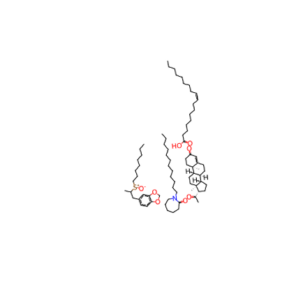 CC(=O)[C@H]1CC[C@H]2[C@@H]3CCC4=CC(=O)CC[C@]4(C)[C@H]3CC[C@]12C.CCCCCCCC/C=C\CCCCCCCC(=O)O.CCCCCCCCCCCCN1CCCCCC1=O.CCCCCCCC[S+]([O-])C(C)Cc1ccc2c(c1)OCO2